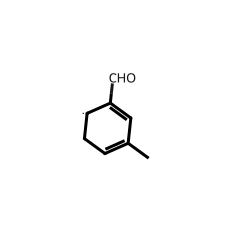 CC1=CC[CH]C(C=O)=C1